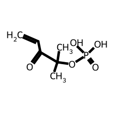 C=CC(=O)C(C)(C)OP(=O)(O)O